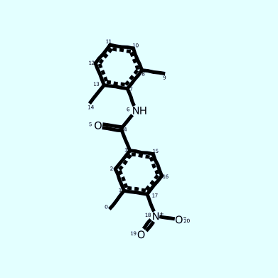 Cc1cc(C(=O)Nc2c(C)cccc2C)ccc1[N+](=O)[O-]